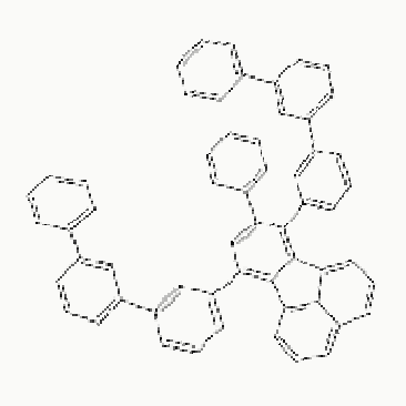 c1ccc(-c2cccc(-c3cccc(-c4cc(-c5ccccc5)c(-c5cccc(-c6cccc(-c7ccccc7)c6)c5)c5c4-c4cccc6cccc-5c46)c3)c2)cc1